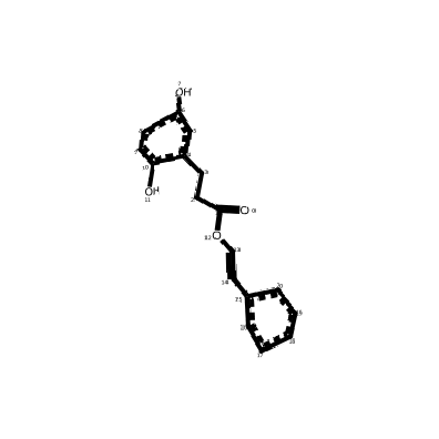 O=C(CCc1cc(O)ccc1O)OC=Cc1ccccc1